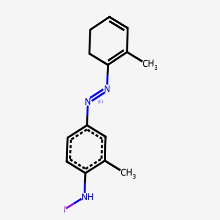 CC1=C(/N=N/c2ccc(NI)c(C)c2)CCC=C1